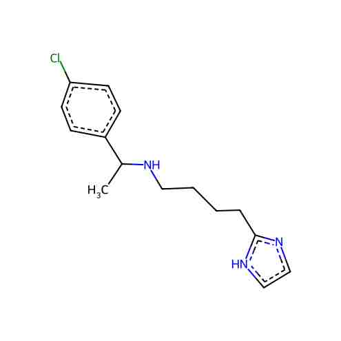 CC(NCCCCc1ncc[nH]1)c1ccc(Cl)cc1